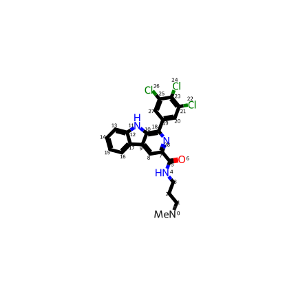 CNCCCNC(=O)c1cc2c([nH]c3ccccc32)c(-c2cc(Cl)c(Cl)c(Cl)c2)n1